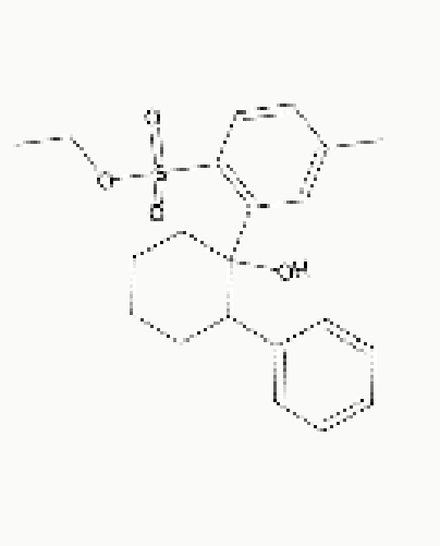 CCOS(=O)(=O)c1ccc(C)cc1C1(O)CCCCC1c1ccccc1